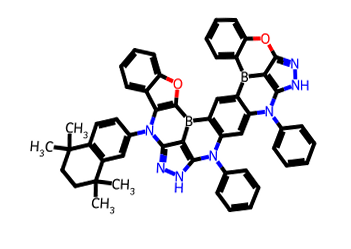 CC1(C)CCC(C)(C)c2cc(N3c4n[nH]c5c4B(c4cc6c(cc4N5c4ccccc4)N(c4ccccc4)c4[nH]nc5c4B6c4ccccc4O5)c4oc5ccccc5c43)ccc21